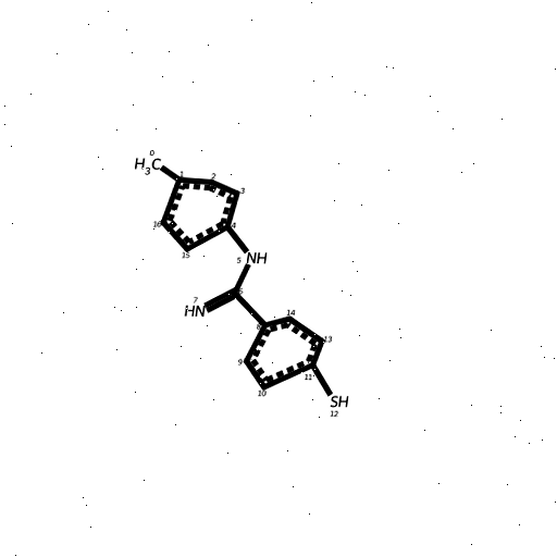 Cc1ccc(NC(=N)c2ccc(S)cc2)cc1